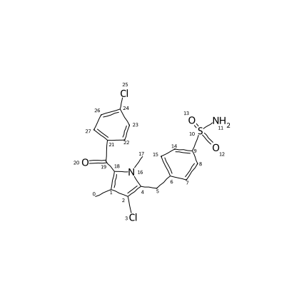 Cc1c(Cl)c(Cc2ccc(S(N)(=O)=O)cc2)n(C)c1C(=O)c1ccc(Cl)cc1